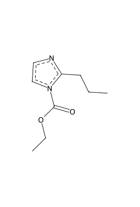 CCCc1nccn1C(=O)OCC